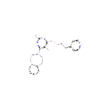 Cc1nc(OCCCc2ccncc2)c([N+](=O)[O-])c(N2CCc3ccccc3CC2)n1